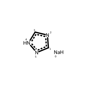 [NaH].c1nc[nH]n1